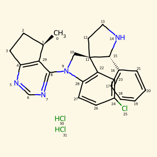 C[C@@H]1CCc2ncnc(N3C[C@]4(CCN[C@@H]4c4ccccc4)c4cc(Cl)ccc43)c21.Cl.Cl